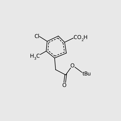 Cc1c(Cl)cc(C(=O)O)cc1CC(=O)OC(C)(C)C